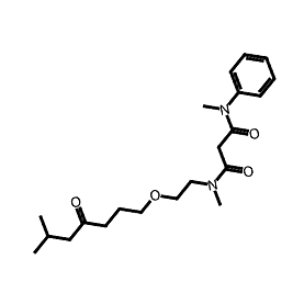 CC(C)CC(=O)CCCOCCN(C)C(=O)CC(=O)N(C)c1ccccc1